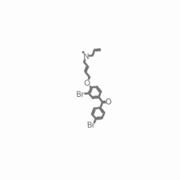 C=CCN(C)C/C=C/COc1ccc(C(=O)c2ccc(Br)cc2)cc1Br